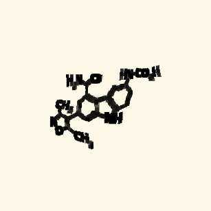 Cc1noc(C)c1-c1cc(C(N)=O)c2c(c1)[nH]c1ccc(NC(=O)O)cc12